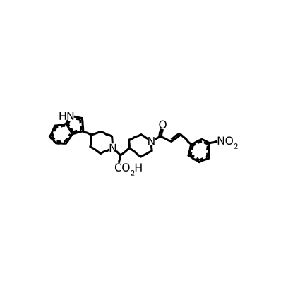 O=C(O)C(C1CCN(C(=O)C=Cc2cccc([N+](=O)[O-])c2)CC1)N1CCC(c2c[nH]c3ccccc23)CC1